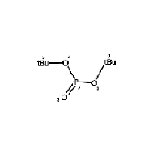 CC(C)(C)O[P](=O)OC(C)(C)C